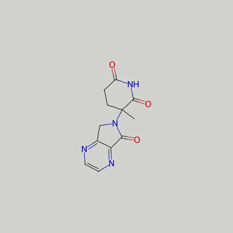 CC1(N2Cc3nccnc3C2=O)CCC(=O)NC1=O